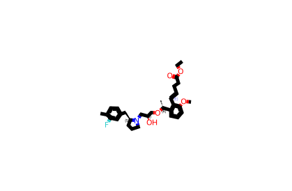 CCOC(=O)CC/C=C/c1c(OC)cccc1[C@@H](C)OC[C@H](O)CN1CCC[C@H]1Cc1ccc(C)c(F)c1